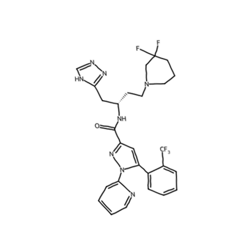 O=C(N[C@@H](CCN1CCCC(F)(F)C1)Cc1nnc[nH]1)c1cc(-c2ccccc2C(F)(F)F)n(-c2ccccn2)n1